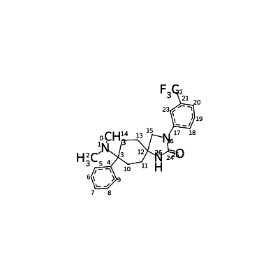 CN(C)C1(c2ccccc2)CCC2(CC1)CN(c1cccc(C(F)(F)F)c1)C(=O)N2